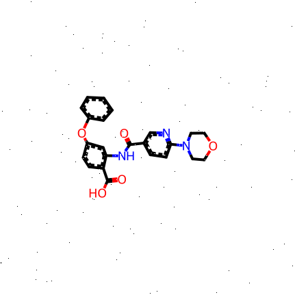 O=C(Nc1cc(Oc2ccccc2)ccc1C(=O)O)c1ccc(N2CCOCC2)nc1